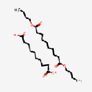 CCCCOC(=O)CCCCCCCCC(=O)OCCCC.O=C(O)CCCCCCCCC(=O)O